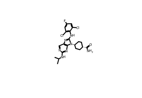 CC(C)Nc1ncc2nc(Nc3c(Cl)cc(F)cc3Cl)n([C@H]3CC[C@@H](C(N)=O)CC3)c2n1